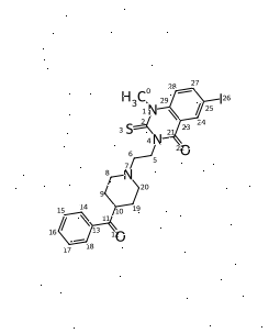 Cn1c(=S)n(CCN2CCC(C(=O)c3ccccc3)CC2)c(=O)c2cc(I)ccc21